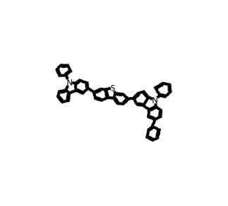 c1ccc(-c2ccc3c(c2)c2cc(-c4ccc5c(c4)sc4cc(-c6ccc7c(c6)c6ccccc6n7-c6ccccc6)ccc45)ccc2n3-c2ccccc2)cc1